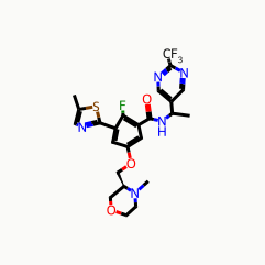 Cc1cnc(-c2cc(OC[C@@H]3COCCN3C)cc(C(=O)NC(C)c3cnc(C(F)(F)F)nc3)c2F)s1